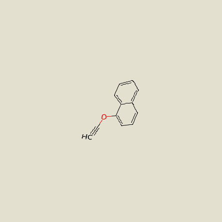 C#COc1cccc2ccccc12